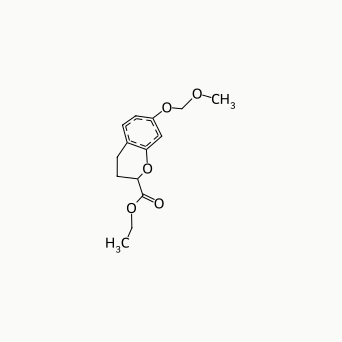 CCOC(=O)C1CCc2ccc(OCOC)cc2O1